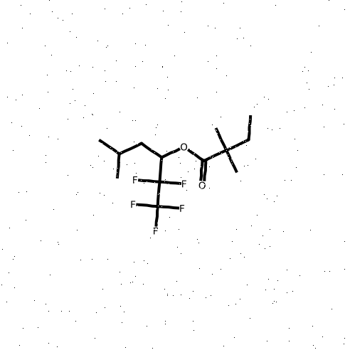 CCC(C)(C)C(=O)OC(CC(C)C)C(F)(F)C(F)(F)F